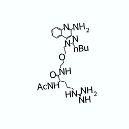 CCCCc1nc2c(N)nc3ccccc3c2n1CCOCCNC(=O)C(CCCNC(=N)N)NC(C)=O